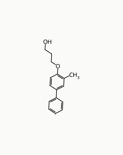 Cc1cc(-c2cc[c]cc2)ccc1OCCCO